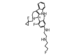 FCCCNCCNc1cc(F)c([C@@H]2c3[nH]c4ccccc4c3CCN2CC2(F)CC2)c(F)c1